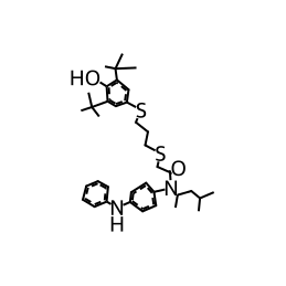 CC(C)CC(C)N(C(=O)CSCCCSc1cc(C(C)(C)C)c(O)c(C(C)(C)C)c1)c1ccc(Nc2ccccc2)cc1